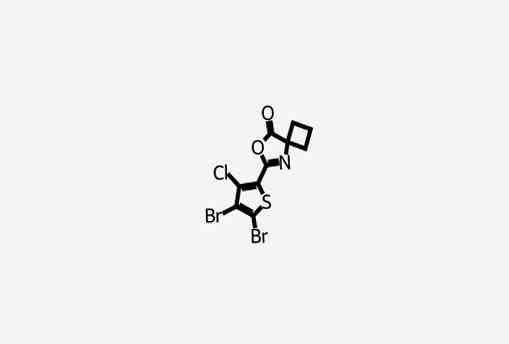 O=C1OC(c2sc(Br)c(Br)c2Cl)=NC12CCC2